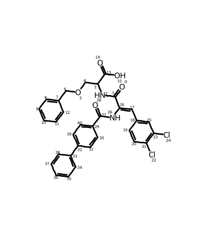 O=C(NC(COCc1ccccc1)C(=O)O)C(=Cc1ccc(Cl)c(Cl)c1)NC(=O)c1ccc(-c2ccccc2)cc1